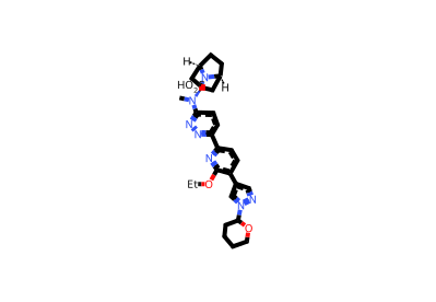 CCOc1nc(-c2ccc(N(C)[C@H]3C[C@H]4CC[C@@H](C3)N4C(=O)O)nn2)ccc1-c1cnn(C2CCCCO2)c1